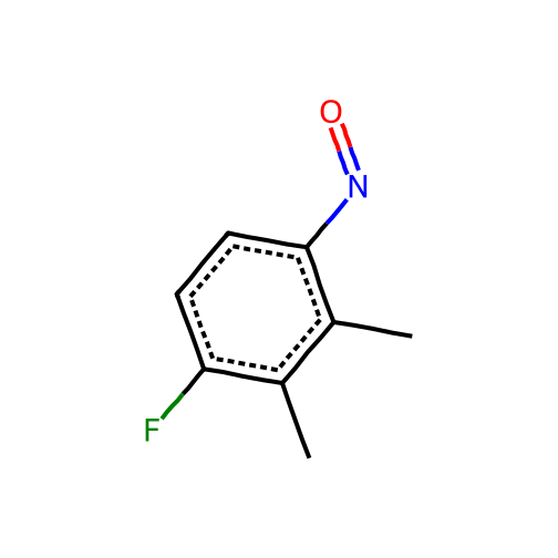 Cc1c(F)ccc(N=O)c1C